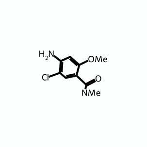 CNC(=O)c1cc(Cl)c(N)cc1OC